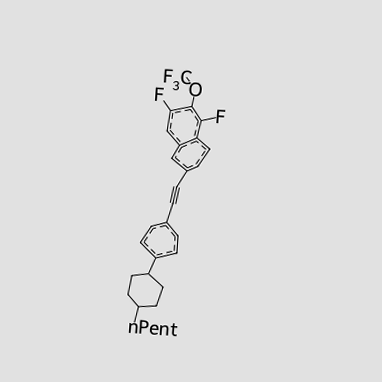 CCCCCC1CCC(c2ccc(C#Cc3ccc4c(F)c(OC(F)(F)F)c(F)cc4c3)cc2)CC1